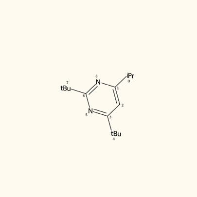 CC(C)c1cc(C(C)(C)C)nc(C(C)(C)C)n1